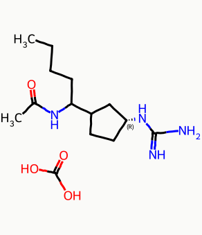 CCCCC(NC(C)=O)C1CC[C@@H](NC(=N)N)C1.O=C(O)O